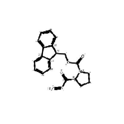 C=NC(=O)[C@@H]1CCCN1C(=O)OCC1c2ccccc2-c2ccccc21